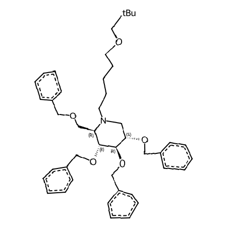 CC(C)(C)COCCCCCN1C[C@H](OCc2ccccc2)[C@@H](OCc2ccccc2)[C@H](OCc2ccccc2)[C@H]1COCc1ccccc1